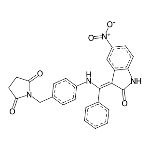 O=C1Nc2ccc([N+](=O)[O-])cc2C1=C(Nc1ccc(CN2C(=O)CCC2=O)cc1)c1ccccc1